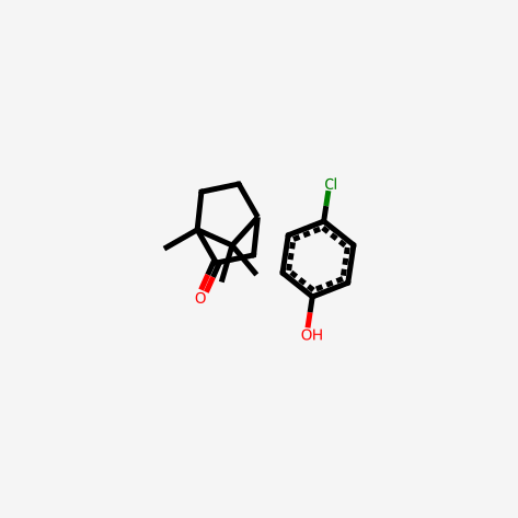 CC12CCC(CC1=O)C2(C)C.Oc1ccc(Cl)cc1